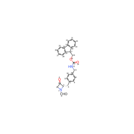 O=CN1CC(=O)[C@@H]1Cc1ccc(CNC(=O)OCC2c3ccccc3-c3ccccc32)cc1